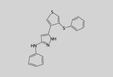 c1ccc(Nc2cc(-c3cscc3Sc3ccccc3)[nH]n2)cc1